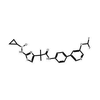 CC(C)(C(=O)Nc1ccc(-c2cncc(OC(F)F)c2)cc1)c1csc(N[S+]([O-])C2CC2)n1